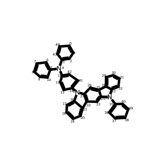 c1ccc(N(c2ccccc2)c2ccc(-n3c4ccccc4c4cc5c(cc43)c3ccccc3n5-c3ccccc3)cc2)cc1